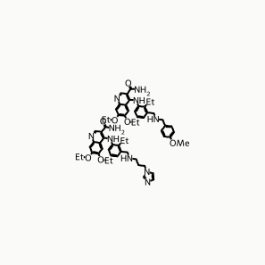 CCOc1cc2ncc(C(N)=O)c(Nc3cccc(CNCCCn4ccnc4)c3CC)c2cc1OCC.CCOc1cc2ncc(C(N)=O)c(Nc3cccc(CNCc4ccc(OC)cc4)c3CC)c2cc1OCC